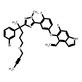 C=Cc1c(Oc2ccc(F)c(-c3nc(C(C)(CCCOCC#CC)c4cccc(Br)c4)nn3C)c2)c(F)cc2[nH]ccc12